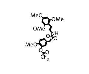 COc1cc(OC)c(/C=C/NS(=O)(=O)Cc2ccc(OC)c(OC(=O)C(F)(F)F)c2)c(OC)c1